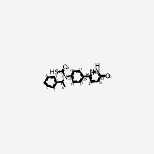 CC(c1ccccc1)N(C(=O)S)c1ccc(-c2ccc(=O)[nH]n2)cc1